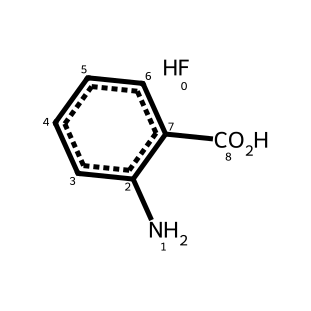 F.Nc1ccccc1C(=O)O